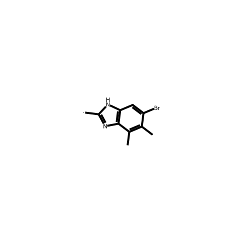 [CH2]c1nc2c(C)c(C)c(Br)cc2[nH]1